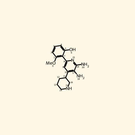 COc1cccc(O)c1-c1cc(C2CCCNC2)c(N)c(N)n1